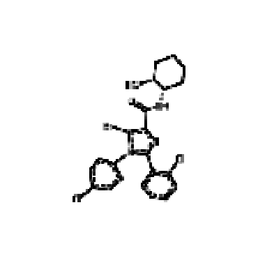 O=C(N[C@H]1CCCC[C@@H]1O)c1nc(-c2ccccc2Cl)n(-c2ccc(Cl)cc2)c1Br